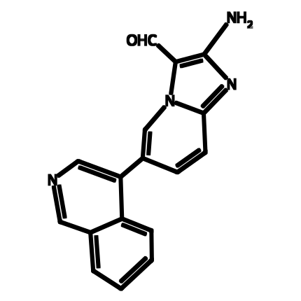 Nc1nc2ccc(-c3cncc4ccccc34)cn2c1C=O